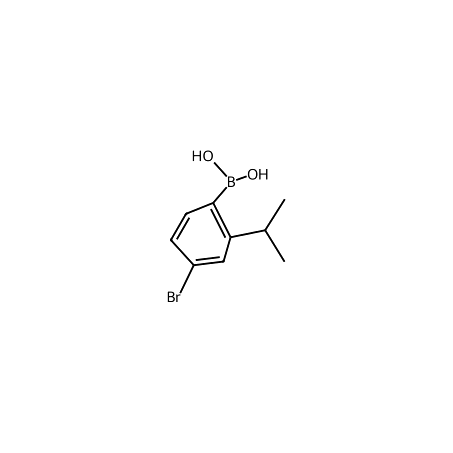 CC(C)c1cc(Br)ccc1B(O)O